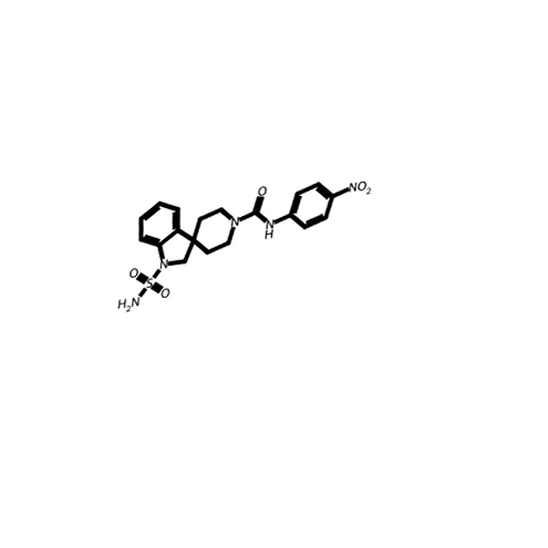 NS(=O)(=O)N1CC2(CCN(C(=O)Nc3ccc([N+](=O)[O-])cc3)CC2)c2ccccc21